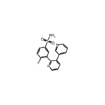 NS(=O)(=O)c1ccc(F)c(-c2ncccc2-c2cccnc2)c1